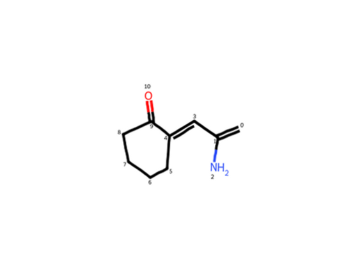 C=C(N)C=C1CCCCC1=O